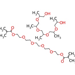 C=C(C)C(=O)OCCOCCOCCOCCOCCOC(=O)C(=C)C.CC(O)COC(C)COC(C)COC(C)COC(C)CO